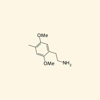 COc1cc(CCN)c(OC)cc1C